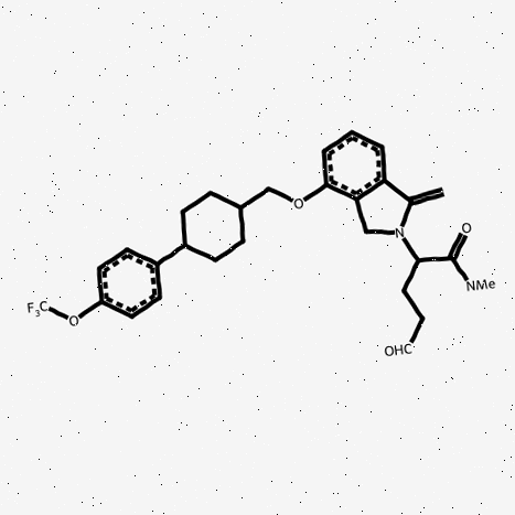 C=C1c2cccc(OCC3CCC(c4ccc(OC(F)(F)F)cc4)CC3)c2CN1C(CCC=O)C(=O)NC